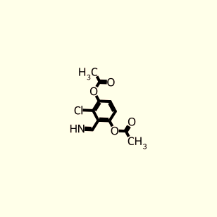 CC(=O)Oc1ccc(OC(C)=O)c(C=N)c1Cl